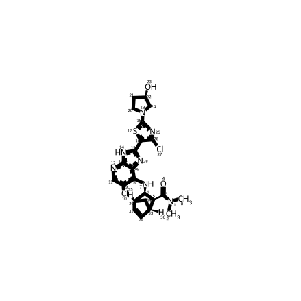 CN(C)C(=O)[C@@H]1[C@H](Nc2c(Cl)cnc3[nH]c(-c4sc(N5CC[C@@H](O)C5)nc4Cl)nc23)[C@H]2C=C[C@@H]1C2